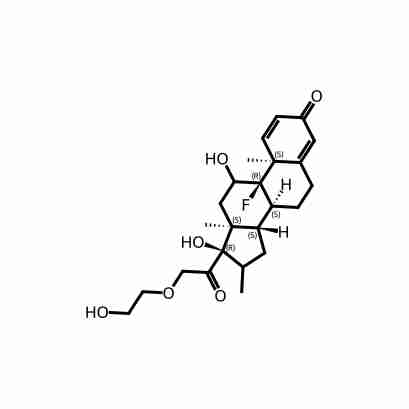 CC1C[C@H]2[C@@H]3CCC4=CC(=O)C=C[C@]4(C)[C@@]3(F)C(O)C[C@]2(C)[C@@]1(O)C(=O)COCCO